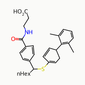 CCCCCCC(SC1=CCC(c2c(C)cccc2C)C=C1)c1ccc(C(=O)NCCC(=O)O)cc1